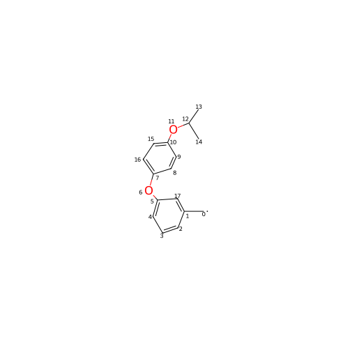 [CH2]c1cccc(Oc2ccc(OC(C)C)cc2)c1